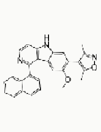 COc1cc2c(cc1-c1c(C)noc1C)[nH]c1ccnc(-c3cccc4ccccc34)c12